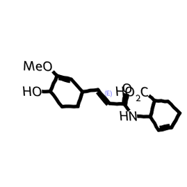 COC1=CC(/C=C/C(=O)NC2C=CCCC2C(=O)O)CCC1O